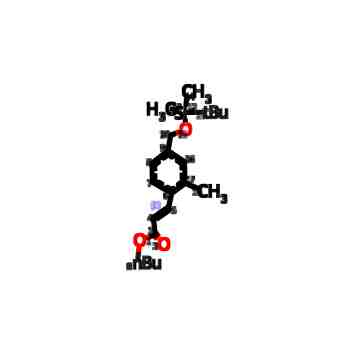 CCCCOC(=O)/C=C/c1ccc(CO[Si](C)(C)C(C)(C)C)cc1C